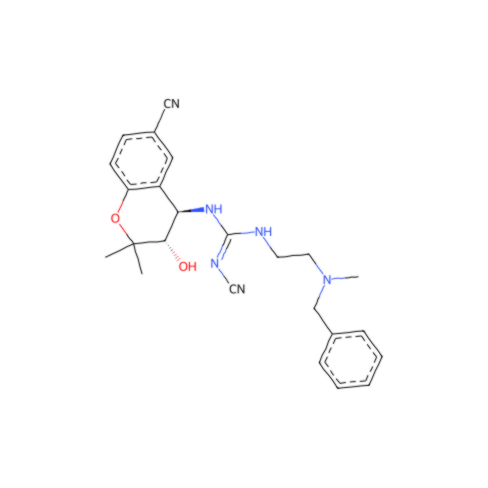 CN(CCNC(=NC#N)N[C@@H]1c2cc(C#N)ccc2OC(C)(C)[C@H]1O)Cc1ccccc1